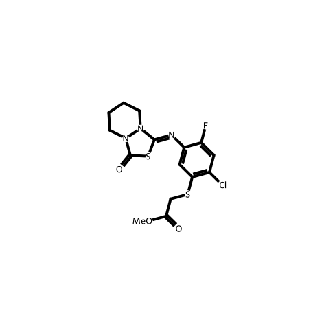 COC(=O)CSc1cc(N=c2sc(=O)n3n2CCCC3)c(F)cc1Cl